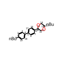 CCCCc1ccc(-c2ccc([C@@H]3CO[C@@H](CCCC)CO3)cc2)cc1